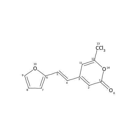 O=c1cc(C=Cc2ccco2)cc(C(Cl)(Cl)Cl)o1